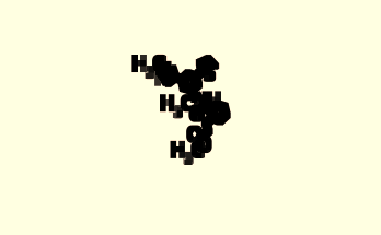 COC(=O)CCc1ccccc1C(=O)NC(C)c1cc(-c2cnn(C)c2)cc(-c2cccs2)c1